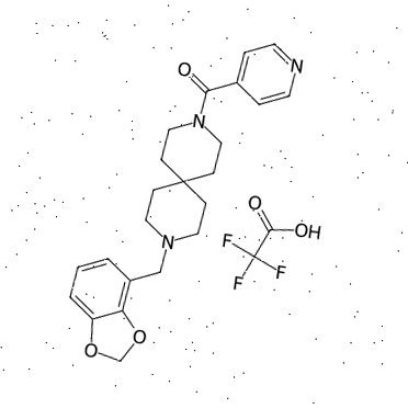 O=C(O)C(F)(F)F.O=C(c1ccncc1)N1CCC2(CCN(Cc3cccc4c3OCO4)CC2)CC1